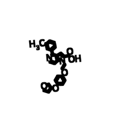 Cc1cccc(-c2nccc3c2cc(C(=O)O)n3CCOc2ccc(OC3CCOC3)cc2)c1